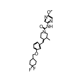 COc1cnc(NC(=O)N2CCC(=Cc3cccc(OCC4CCC(F)(F)CC4)c3)C(C)C2)cn1